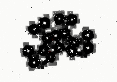 N#Cc1ccc(-c2cc(-c3ccc(C#N)cc3)c(-n3c4ccc(-n5c6ccccc6c6ccccc65)cc4c4cc(-n5c6ccccc6c6ccccc65)ccc43)c(-c3ccccc3)c2-n2c3ccc(-n4c5ccccc5c5ccccc54)cc3c3cc(-n4c5ccccc5c5ccccc54)ccc32)cc1